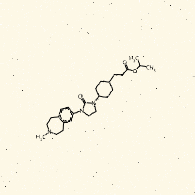 CC(C)OC(=O)CCC1CCC(N2CCN(c3ccc4c(c3)CCN(C)CC4)C2=O)CC1